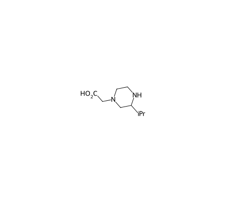 CC(C)C1CN(CC(=O)O)CCN1